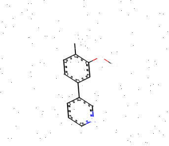 CCOc1cc(-c2c[c]cnc2)ccc1OC